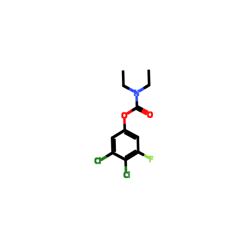 CCN(CC)C(=O)Oc1cc(F)c(Cl)c(Cl)c1